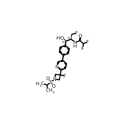 CC(C)S(=O)(=O)N1CC(F)(c2ccc(-c3ccc([C@@H](O)[C@@H](CF)NC(=O)C(F)F)cc3)cn2)C1